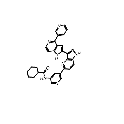 O=C(Nc1cncc(-c2ccc3[nH]nc(-c4cc5c(-c6cccnc6)nccc5[nH]4)c3n2)c1)C1CCCCC1